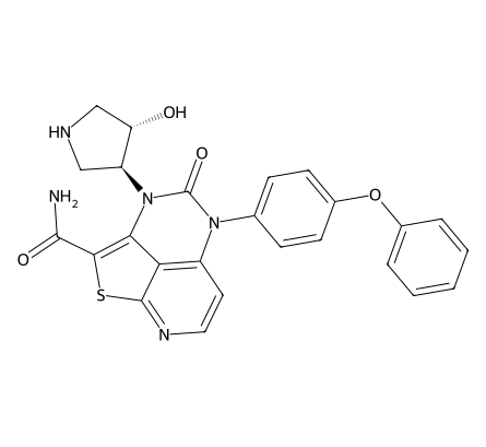 NC(=O)c1sc2nccc3c2c1N([C@H]1CNC[C@@H]1O)C(=O)N3c1ccc(Oc2ccccc2)cc1